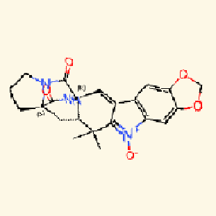 CC1(C)C2=[N+]([O-])c3cc4c(cc3C2=C[C@@]23NC(=O)[C@]5(CCCN5C2=O)CC13)OCO4